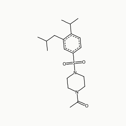 CC(=O)N1CCN(S(=O)(=O)c2ccc(C(C)C)c(CC(C)C)c2)CC1